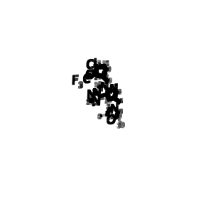 C[C@@H]1CN(Cc2cnc3c(c2)-c2ncnn2CN3Cc2ccc(Cl)c(OC(F)(F)F)c2)C[C@H](C)O1